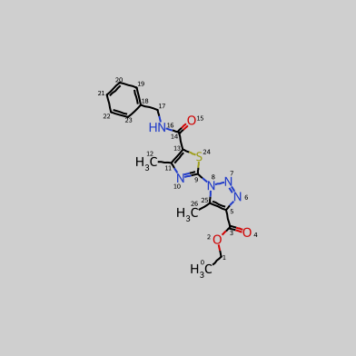 CCOC(=O)c1nnn(-c2nc(C)c(C(=O)NCc3ccccc3)s2)c1C